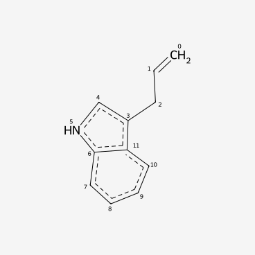 C=CCc1c[nH]c2ccccc12